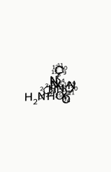 N[C@H]1CC[C@H](n2nc(-c3ccccc3)cc2Nc2cnccc2C(=O)O)CC1